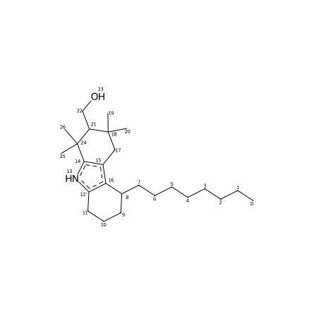 CCCCCCCCC1CCCc2[nH]c3c(c21)CC(C)(C)C(CO)C3(C)C